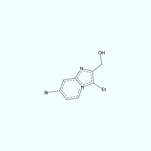 CCc1c(CO)nc2cc(Br)ccn12